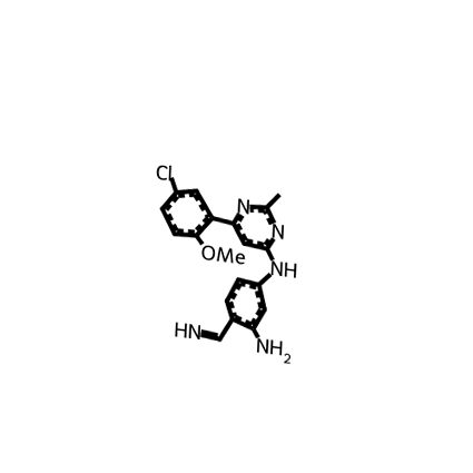 COc1ccc(Cl)cc1-c1cc(Nc2ccc(C=N)c(N)c2)nc(C)n1